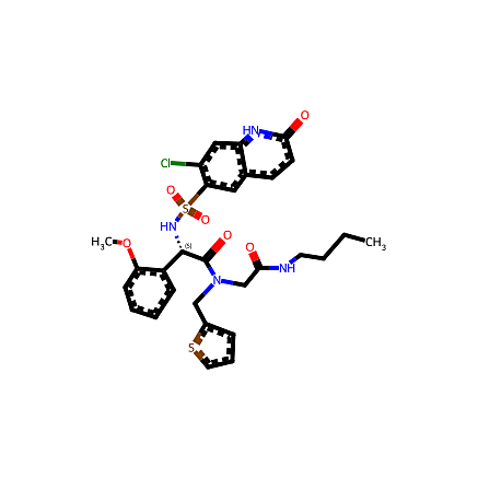 CCCCNC(=O)CN(Cc1cccs1)C(=O)[C@@H](NS(=O)(=O)c1cc2ccc(=O)[nH]c2cc1Cl)c1ccccc1OC